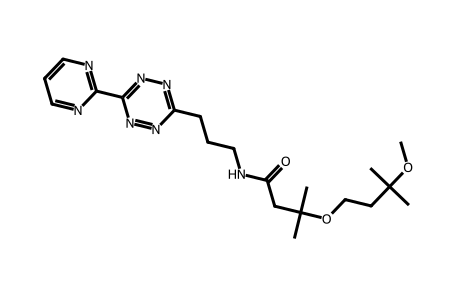 COC(C)(C)CCOC(C)(C)CC(=O)NCCCc1nnc(-c2ncccn2)nn1